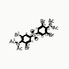 CC(=O)N(C(C)=O)c1c(Br)cc(S(=O)(=O)c2cc(Br)c(N(C(C)=O)C(C)=O)c(Br)c2)cc1Br